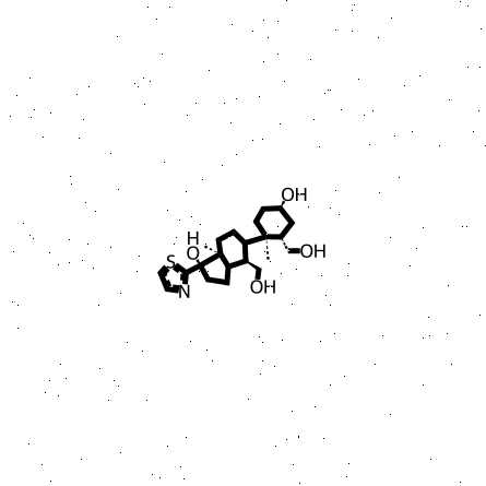 C[C@]12CCC([C@@]3(C)CC[C@H](O)C[C@@H]3CO)[C@@H](CO)C1CC[C@@]2(O)c1nccs1